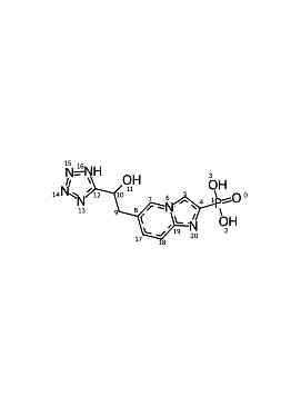 O=P(O)(O)c1cn2cc(CC(O)c3nnn[nH]3)ccc2n1